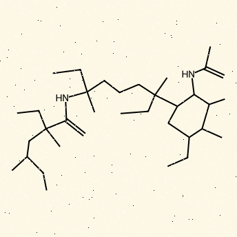 C=C(C)NC1C(C)C(C)C(CC)CC1C(C)(CC)CCCC(C)(CC)NC(=C)C(C)(CC)CC(C)CC